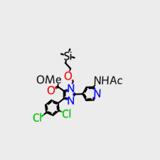 COC(=O)c1c(-c2ccc(Cl)cc2Cl)nc(-c2ccnc(NC(C)=O)c2)n1COCC[Si](C)(C)C